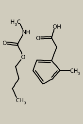 CCCCOC(=O)NC.Cc1ccccc1CC(=O)O